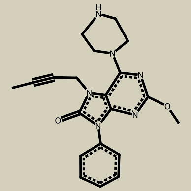 CC#CCn1c(=O)n(-c2ccccc2)c2nc(OC)nc(N3CCNCC3)c21